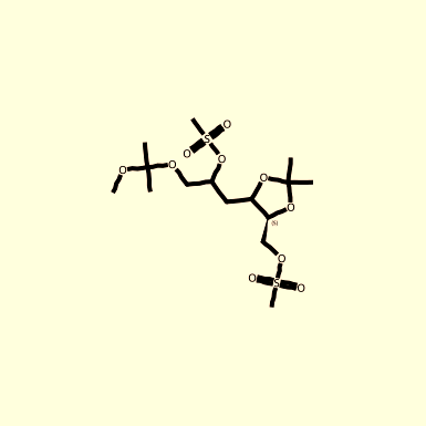 COC(C)(C)OCC(CC1OC(C)(C)O[C@H]1COS(C)(=O)=O)OS(C)(=O)=O